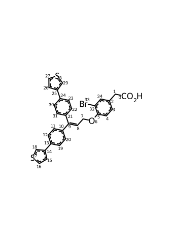 O=C(O)Cc1ccc(OCC=C(c2ccc(-c3ccsc3)cc2)c2ccc(-c3ccsc3)cc2)c(Br)c1